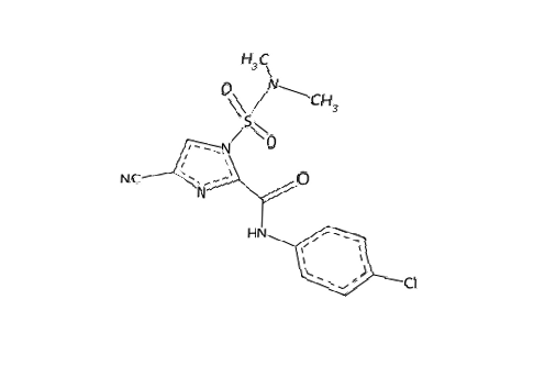 CN(C)S(=O)(=O)n1cc(C#N)nc1C(=O)Nc1ccc(Cl)cc1